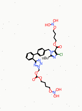 CCCCc1nc(Cl)c(C(=O)OCCCCON(O)O)n1Cc1ccc(-c2ccccc2-c2nnn(COC(=O)OCCCCON(O)O)n2)cc1